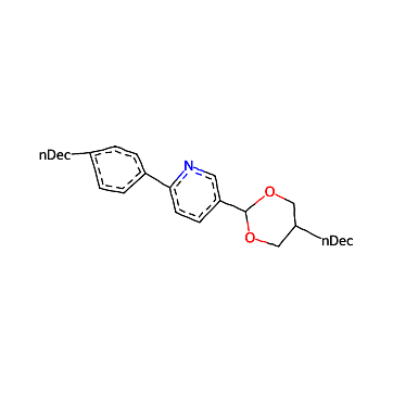 CCCCCCCCCCc1ccc(-c2ccc(C3OCC(CCCCCCCCCC)CO3)cn2)cc1